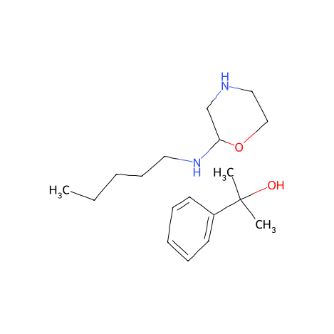 CC(C)(O)c1ccccc1.CCCCCNC1CNCCO1